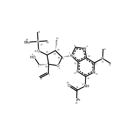 C=C[C@]1(CO)O[C@@H](n2cnc3c(N(C)C)nc(NC(=O)C(C)C)nc32)[C@@H](F)C1O[Si](C)(C)C(C)(C)C